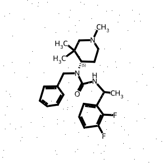 CC(NC(=O)N(Cc1ccccc1)[C@H]1CCN(C)CC1(C)C)c1cccc(F)c1F